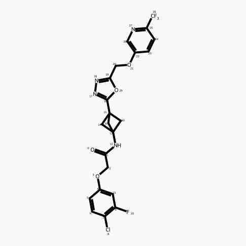 O=C(COc1ccc(Cl)c(F)c1)NC12CC(c3nnc(COc4ccc(C(F)(F)F)nc4)o3)(C1)C2